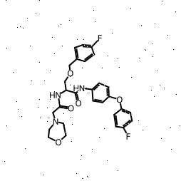 O=C(CN1CCOCC1)NC(COCc1ccc(F)cc1)C(=O)Nc1ccc(Oc2ccc(F)cc2)cc1